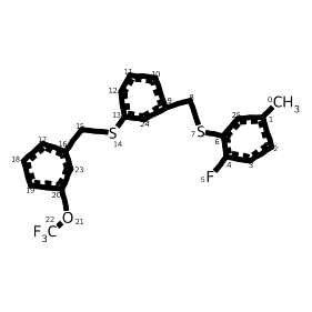 Cc1ccc(F)c(SCc2cccc(SCc3cccc(OC(F)(F)F)c3)c2)c1